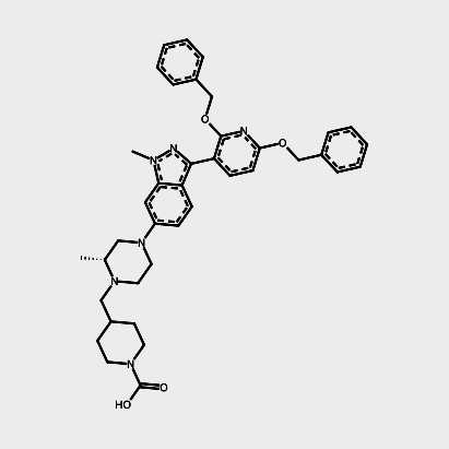 C[C@@H]1CN(c2ccc3c(-c4ccc(OCc5ccccc5)nc4OCc4ccccc4)nn(C)c3c2)CCN1CC1CCN(C(=O)O)CC1